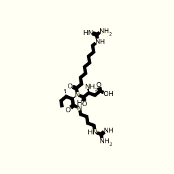 CC[C@H](C)[C@@H](C(=O)NCCCCNC(=N)N)N(C(=O)CCCCCCCCNC(=N)N)C(=O)[C@@H](N)CC(=O)O